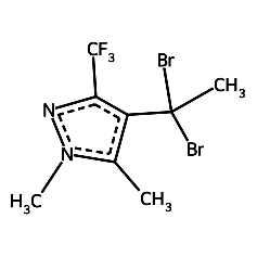 Cc1c(C(C)(Br)Br)c(C(F)(F)F)nn1C